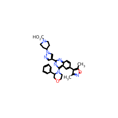 Cc1noc(C)c1-c1ccc2nc(-c3cnn(C4CCN(C(=O)O)CC4)c3)nc(N3CCOCC3c3ccccc3)c2c1